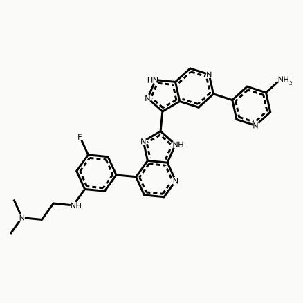 CN(C)CCNc1cc(F)cc(-c2ccnc3[nH]c(-c4n[nH]c5cnc(-c6cncc(N)c6)cc45)nc23)c1